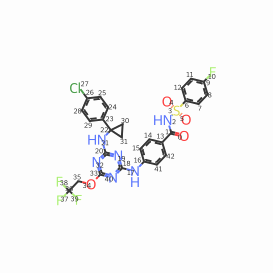 O=C(NS(=O)(=O)c1ccc(F)cc1)c1ccc(Nc2nc(NC3(c4ccc(Cl)cc4)CC3)nc(OCC(F)(F)F)n2)cc1